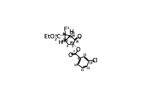 CCOC(=O)[C@@]1(F)[C@@H]2C[C@@H](OC(=O)c3cccc(Cl)c3)C(=O)[C@@H]21